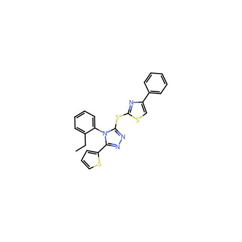 CCc1ccccc1-n1c(Sc2nc(-c3ccccc3)cs2)nnc1-c1cccs1